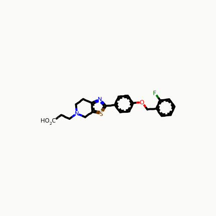 O=C(O)CCN1CCc2nc(-c3ccc(OCc4ccccc4F)cc3)sc2C1